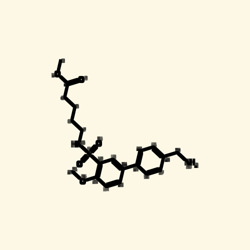 COC(=O)CCCCNS(=O)(=O)c1cc(-c2ccc(CN)cc2)ccc1OC